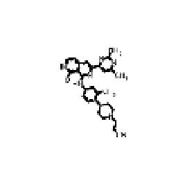 Cc1cc(-c2cc3cc[nH]c(=O)c3c(Nc3ccc(C4CCN(CCC#N)CC4)c(C)c3)n2)nc(N)n1